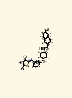 O=C1NC(=O)/C(=C/c2ccnc(N[C@H]3CC[C@H](NCc4ccc5cc(O)ccc5c4)CC3)n2)S1